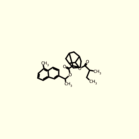 CCC(C)C(=O)OC1C2CC3CC1CC(C2)C3C(=O)OC(C)c1ccc2c(C)cccc2c1